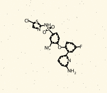 N#Cc1cc(S(=O)(=O)Nc2ncc(Cl)s2)ccc1Oc1ccc(F)cc1-c1cccc(N)n1